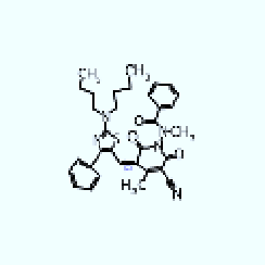 CCCCN(CCCC)c1nc(-c2ccccc2)c(/C=C2\C(=O)N(N(C)C(=O)c3ccccc3)C(=O)C(C#N)=C2C)s1